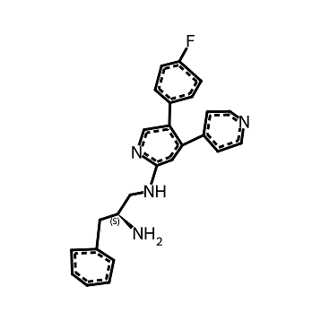 N[C@H](CNc1cc(-c2ccncc2)c(-c2ccc(F)cc2)cn1)Cc1ccccc1